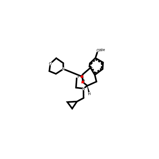 COc1ccc2c(c1)[C@@]13CCN(CC4CC4)[C@@H](C2)C1OCC(N1CCOCC1)C3